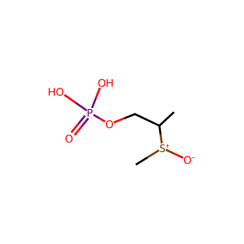 CC(COP(=O)(O)O)[S+](C)[O-]